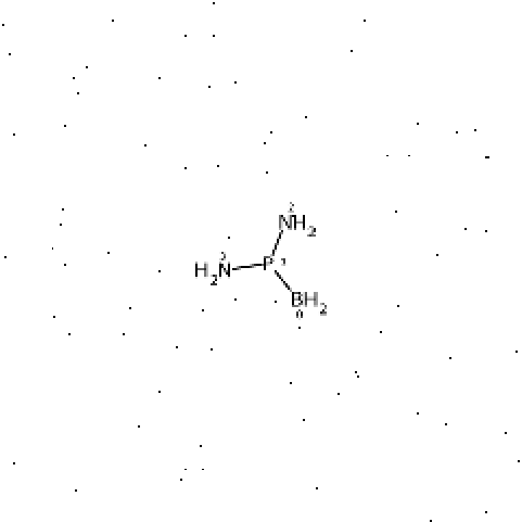 BP(N)N